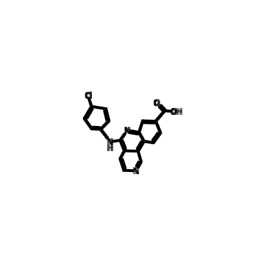 O=C(O)c1ccc2c(c1)nc(Nc1ccc(Cl)cc1)c1ccncc12